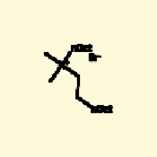 CCCCCCCCCC[N+](C)(C)CCCCCCCC.[Br-]